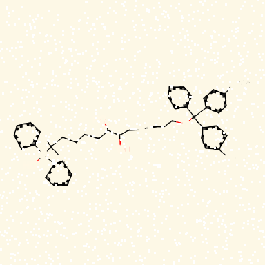 COc1ccc(C(OCCCCCC(O)C(O)CCCCC(C)(C)[Si](O)(c2ccccc2)c2ccccc2)(c2ccccc2)c2ccc(OC)cc2)cc1